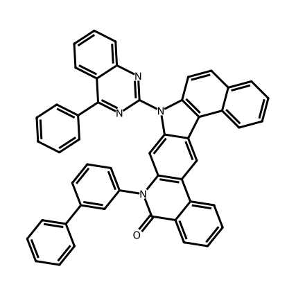 O=c1c2ccccc2c2cc3c4c5ccccc5ccc4n(-c4nc(-c5ccccc5)c5ccccc5n4)c3cc2n1-c1cccc(-c2ccccc2)c1